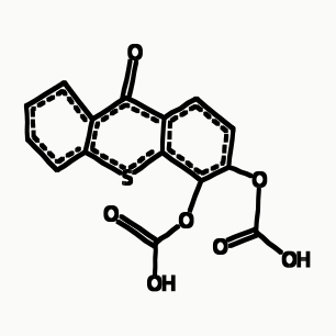 O=C(O)Oc1ccc2c(=O)c3ccccc3sc2c1OC(=O)O